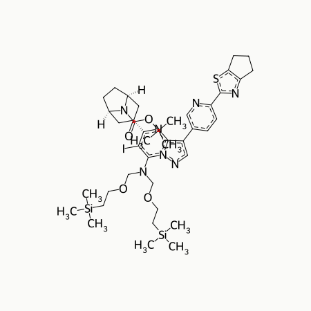 CC(C)(C)OC(=O)N1[C@@H]2CC[C@H]1C[C@H](c1nc3c(-c4ccc(-c5nc6c(s5)CCC6)nc4)cnn3c(N(COCC[Si](C)(C)C)COCC[Si](C)(C)C)c1I)C2